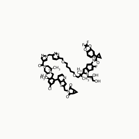 Cc1cc(Cl)cc(-c2ccnc3cc(CN4C(=O)C5CC5C4=O)sc23)c1CN1[C@@H](C)CN(C(=O)c2cnn(Cc3ccc(COCCCCCOCC(C)(C)c4cc5cc(NC(=O)C6(c7ccc8c(c7)OC(F)(F)O8)CC6)c(F)cc5n4C[C@H](O)CO)nn3)c2)C[C@@H]1C